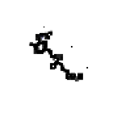 C=N/C=N\c1nc(CCNC(=O)CCCC(=O)O)cnc1C